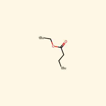 CC(C)(C)CCC(=O)OCC(C)(C)C